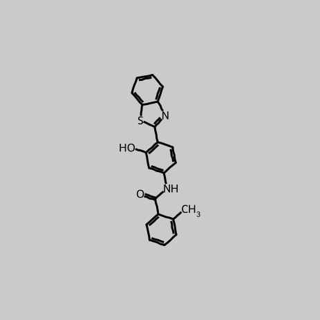 Cc1ccccc1C(=O)Nc1ccc(-c2nc3ccccc3s2)c(O)c1